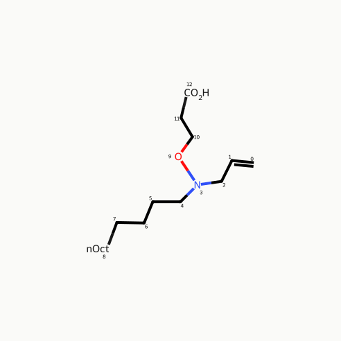 C=CCN(CCCCCCCCCCCC)OCCC(=O)O